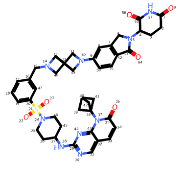 O=C1CCC(N2Cc3cc(N4CC5(CN(Cc6cccc(S(=O)(=O)N7CCC(Nc8ncc9ccc(=O)n(C%10%11CC(C%10)C%11)c9n8)CC7)c6)C5)C4)ccc3C2=O)C(=O)N1